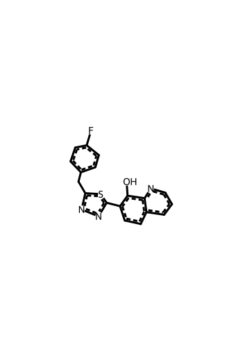 Oc1c(-c2nnc(Cc3ccc(F)cc3)s2)ccc2cccnc12